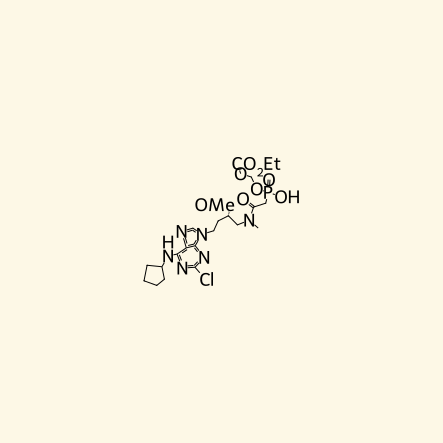 CCOC(=O)OCOP(=O)(O)CC(=O)N(C)C[C@H](CCn1cnc2c(NC3CCCC3)nc(Cl)nc21)OC